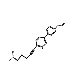 C=CCc1ccc(-c2ccc(C#CCCCC(C)F)nc2)cc1